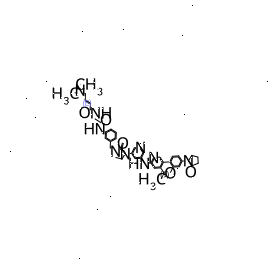 C[C@@H]1Oc2cc(N3CCCC3=O)ccc2-c2cnc(Nc3cncc(N4CCN(Cc5cccc(NC(=O)CNC(=O)/C=C/CN(C)C)c5)C4=O)c3)cc21